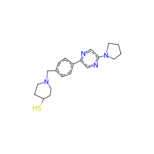 SC1CCN(Cc2ccc(-c3cnc(N4CCCC4)cn3)cc2)CC1